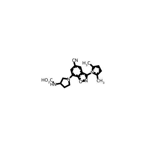 Cc1ccc(C)n1-c1noc2c(N3CCC(NC(=O)O)C3)cc(C#N)cc12